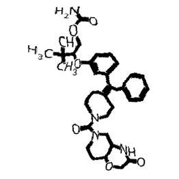 CC(C)(C)C(COC(N)=O)Oc1cccc(C(=C2CCN(C(=O)N3CCC4OCC(=O)NC4C3)CC2)c2ccccc2)c1